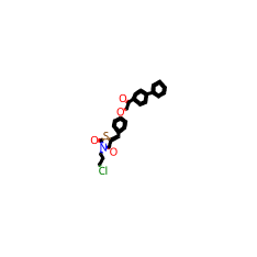 O=C(COc1ccc(/C=C2\SC(=O)N(CCCCl)C2=O)cc1)c1ccc(-c2ccccc2)cc1